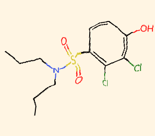 CCCN(CCC)S(=O)(=O)c1ccc(O)c(Cl)c1Cl